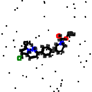 Cc1cc(Cl)c2ccc(-c3ccc([C@H]4CCCN(C(=O)OC(C)(C)C)C4)cc3)nn12